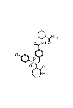 NC(=O)[C@H]1CCCC[C@H]1NC(=O)c1ccc(CN([C@@H]2CCCCNC2=O)S(=O)(=O)c2ccc(Cl)cc2)cc1